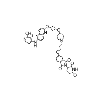 Cc1cc(Nc2ccc3nc(OC4CC(OC5CCN(CCCOc6ccc7c(c6)C(=O)N(C6CCC(=O)NC6=O)C7=O)CC5)C4)ccc3n2)ccn1